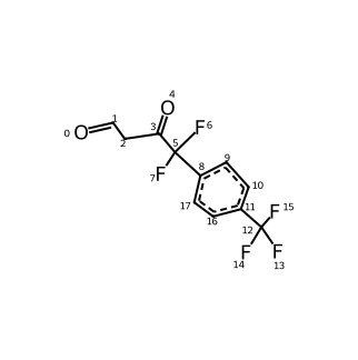 O=CCC(=O)C(F)(F)c1ccc(C(F)(F)F)cc1